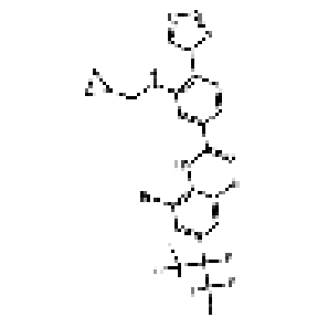 O=C(Nc1c(Br)cc(C(F)(C(F)(F)F)C(F)(F)F)cc1Br)c1ccc(-n2cncn2)c(NCC2CC2)c1